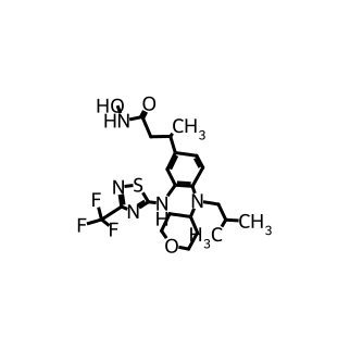 CC(C)CN(c1ccc(C(C)CC(=O)NO)cc1Nc1nc(C(F)(F)F)ns1)C1CCOCC1